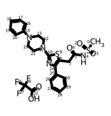 CS(=O)(=O)NC(=O)Cc1sc(N2CCN(c3ccccc3)CC2)nc1-c1ccccc1.O=C(O)C(F)(F)F